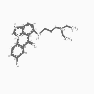 CCN(CC)CCCNc1ccc2ncn3c4ccc(F)cc4c(=O)c1c23